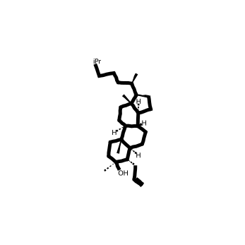 C=CC[C@H]1[C@@H]2CC[C@@H]3[C@H](CC[C@]4(C)[C@@H]([C@H](C)CCCC(C)C)CC[C@@H]34)[C@@]2(C)CC[C@]1(C)O